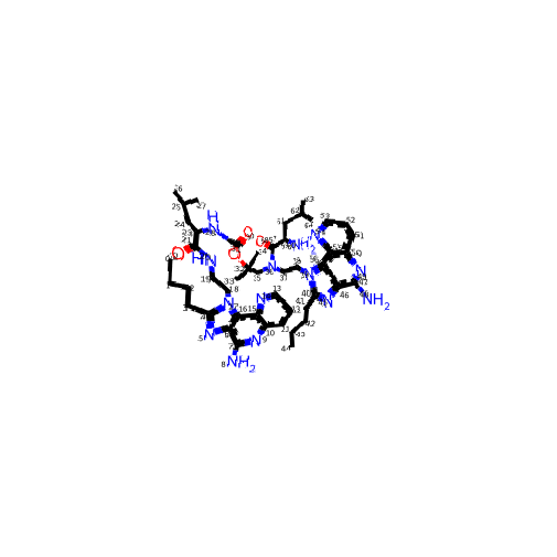 CCCCc1nc2c(N)nc3cccnc3c2n1CCNC(=O)C(CC(C)C)NC(=O)OC(C)(C)CN(CCn1c(CCCC)nc2c(N)nc3cccnc3c21)C(=O)C(N)CC(C)C